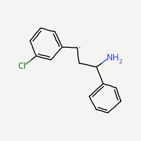 NC(C[CH]c1cccc(Cl)c1)c1ccccc1